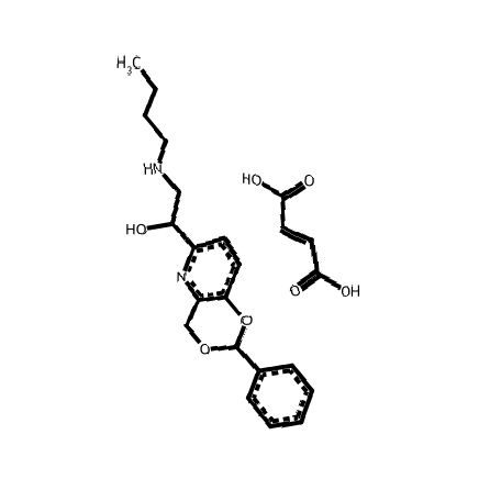 CCCCNCC(O)c1ccc2c(n1)COC(c1ccccc1)O2.O=C(O)C=CC(=O)O